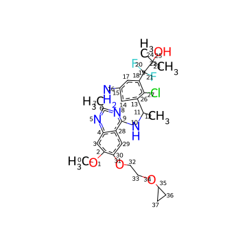 COc1cc2nc(C)nc(NC(C)c3cc(N)cc(C(F)(F)C(C)(C)O)c3Cl)c2cc1OCCOC1CC1